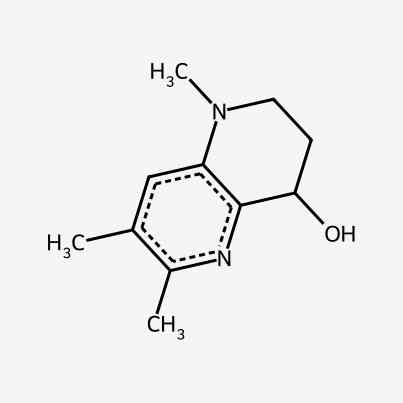 Cc1cc2c(nc1C)C(O)CCN2C